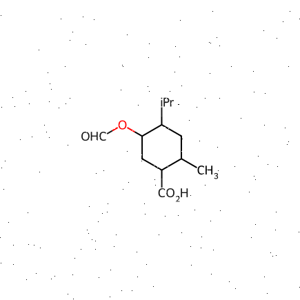 CC(C)C1CC(C)C(C(=O)O)CC1OC=O